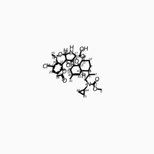 COC(=O)N(CC(C)[C@@H]1CC[C@@H](C)[C@]2(O)C([C@H]3[C@@H](C(=O)O)N[C@@H]4ON(C)c5c(Cl)cccc5[C@@]43O)[C@@H](OC(C)=O)C(C)=C[C@H]12)C1CC1